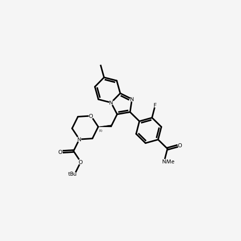 CNC(=O)c1ccc(-c2nc3cc(C)ccn3c2C[C@H]2CN(C(=O)OC(C)(C)C)CCO2)c(F)c1